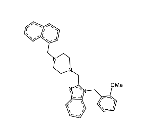 COc1ccccc1Cn1c(CN2CCN(Cc3cccc4ccccc34)CC2)nc2ccccc21